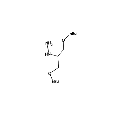 CCCCOCC(COCCCC)NN